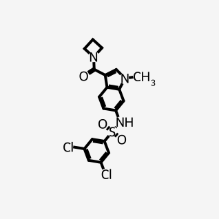 Cn1cc(C(=O)N2CCC2)c2ccc(NS(=O)(=O)c3cc(Cl)cc(Cl)c3)cc21